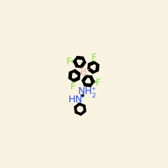 Fc1cccc([B-](c2cccc(F)c2)(c2cccc(F)c2)c2cccc(F)c2)c1.[NH2+]=CNC1CCCCC1